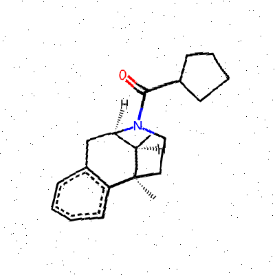 C[C@@H]1[C@H]2Cc3ccccc3[C@]1(C)CCN2C(=O)C1CCCC1